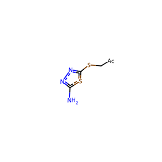 CC(=O)CSc1nnc(N)s1